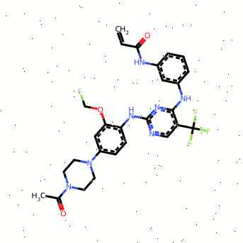 C=CC(=O)Nc1cccc(Nc2nc(Nc3ccc(N4CCN(C(C)=O)CC4)cc3OCF)ncc2C(F)(F)F)c1